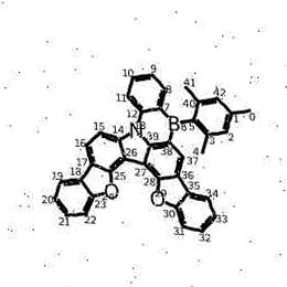 Cc1cc(C)c(B2c3ccccc3-n3c4ccc5c6ccccc6oc5c4c4c5oc6ccccc6c5cc2c43)c(C)c1